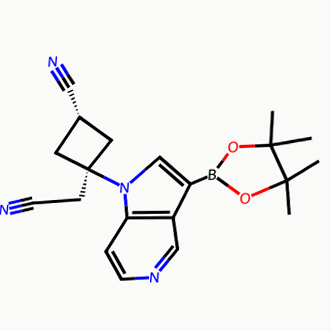 CC1(C)OB(c2cn([C@]3(CC#N)C[C@@H](C#N)C3)c3ccncc23)OC1(C)C